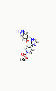 CC(C)(C)OC(=O)N1CC=C(c2nccnc2Oc2ccc(N)cc2)CC1